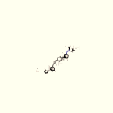 CC(=O)c1ccc(-c2cc(C)cc(CNCC3CCN(c4nccc(/C=C5\SC(=O)NC5=O)n4)CC3)n2)s1